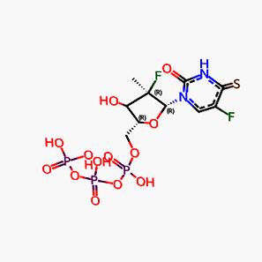 C[C@@]1(F)C(O)[C@@H](COP(=O)(O)OP(=O)(O)OP(=O)(O)O)O[C@H]1n1cc(F)c(=S)[nH]c1=O